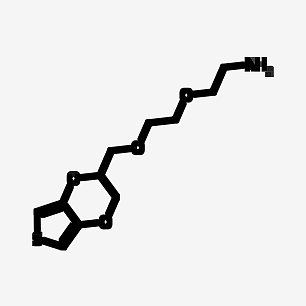 NCCOCCOCC1COc2cscc2O1